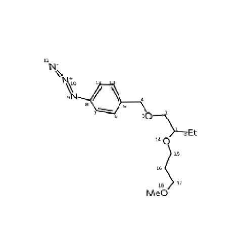 CCC(COCc1ccc(N=[N+]=[N-])cc1)OCCCOC